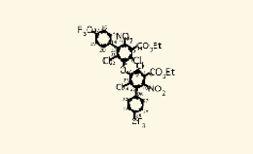 CCOC(=O)c1c(Cl)c(Oc2c(Cl)c(C(=O)OCC)c([N+](=O)[O-])c(-c3ccc(C(F)(F)F)cc3)c2Cl)c(Cl)c(-c2ccc(C(F)(F)F)cc2)c1[N+](=O)[O-]